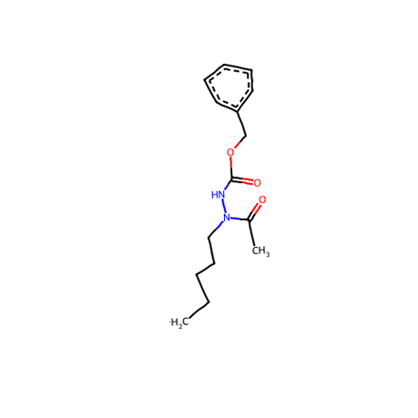 [CH2]CCCCN(NC(=O)OCc1ccccc1)C(C)=O